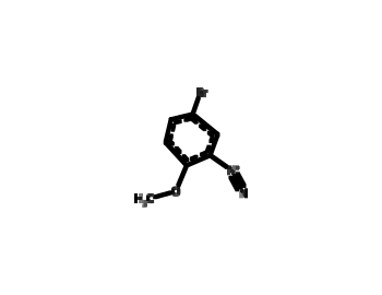 COc1ccc(Br)cc1[N+]#N